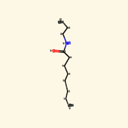 CC(C)(C)CCCCCCC(=O)NCCC(C)(C)C